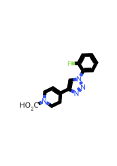 O=C(O)N1CC=C(c2cn(-c3ccccc3F)nn2)CC1